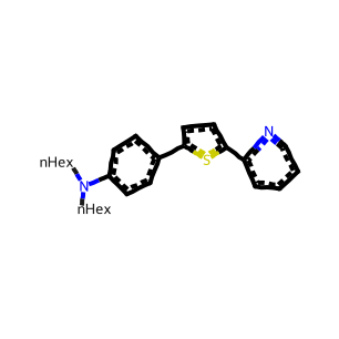 CCCCCCN(CCCCCC)c1ccc(-c2ccc(-c3ccccn3)s2)cc1